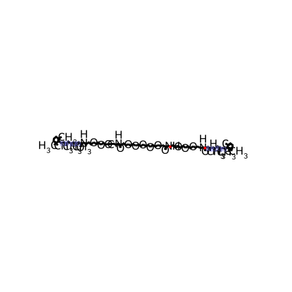 CC1=CCCC(C)(C)C1/C=C/C(C)=C/C=C/C(C)=C/C(=O)NCCCOCCOCCOCCCNC(=O)CCOCCOCCOCCOCCOCCC(=O)NCCCOCCOCCOCCCNC(=O)/C=C(C)/C=C/C=C(C)/C=C/C1=C(C)CCCC1(C)C